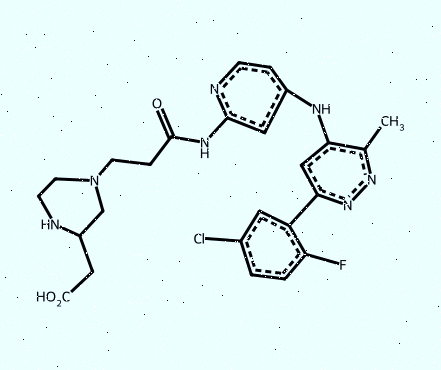 Cc1nnc(-c2cc(Cl)ccc2F)cc1Nc1ccnc(NC(=O)CCN2CCNC(CC(=O)O)C2)c1